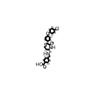 O=C(O)c1ccc(CNC[C@@H]2CCS[C@H](c3ccc(Oc4ccc(Cl)cc4)cc3)C(=O)N2)cc1